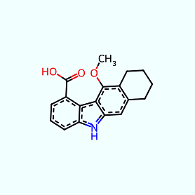 COc1c2c(cc3[nH]c4cccc(C(=O)O)c4c13)CCCC2